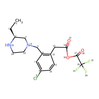 CC[C@H]1CN(Cc2cc(Cl)ccc2CC(=O)OC(=O)C(F)(F)F)CCN1